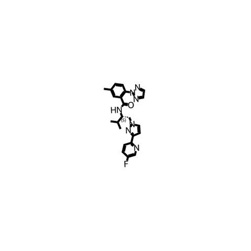 Cc1ccc(-n2nccn2)c(C(=O)N[C@H](Cn2ccc(-c3ccc(F)cn3)n2)C(C)C)c1